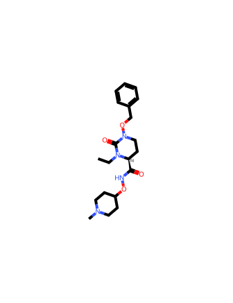 CCN1C(=O)N(OCc2ccccc2)CC[C@H]1C(=O)NOC1CCN(C)CC1